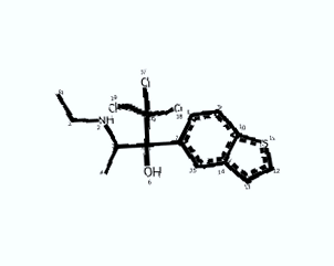 CCNC(C)C(O)(c1ccc2sccc2c1)C(Cl)(Cl)Cl